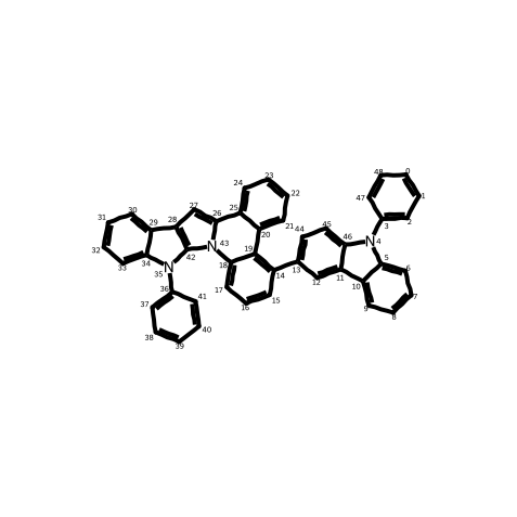 c1ccc(-n2c3ccccc3c3cc(-c4cccc5c4c4ccccc4c4cc6c7ccccc7n(-c7ccccc7)c6n45)ccc32)cc1